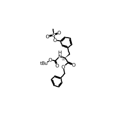 CC(C)(C)OC(=O)N[C@@H](Cc1cccc(OS(C)(=O)=O)c1)C(=O)OCc1ccccc1